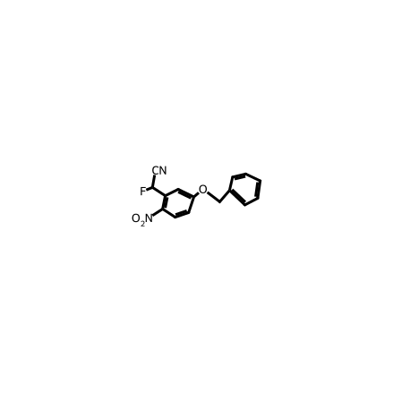 N#CC(F)c1cc(OCc2ccccc2)ccc1[N+](=O)[O-]